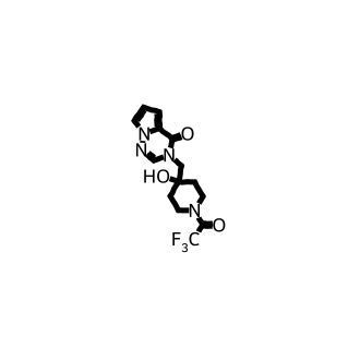 O=C(N1CCC(O)(Cn2cnn3cccc3c2=O)CC1)C(F)(F)F